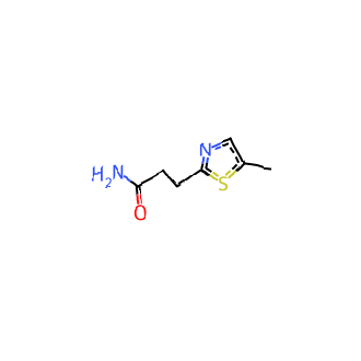 Cc1cnc(CCC(N)=O)s1